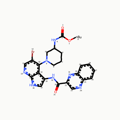 CCCCOC(=O)NC1CCCN(c2c(Br)cnc3[nH]cc(NC(=O)c4cnc5ccccc5n4)c23)C1